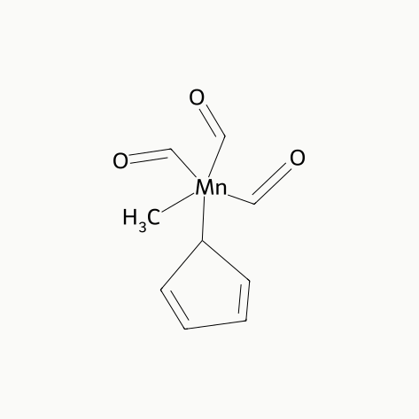 [CH3][Mn]([CH]=O)([CH]=O)([CH]=O)[CH]1C=CC=C1